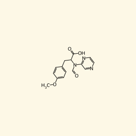 COc1ccc(CC(C(=O)O)N(C=O)c2cnccn2)cc1